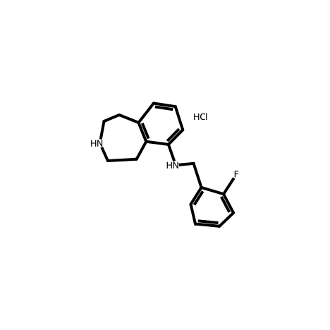 Cl.Fc1ccccc1CNc1cccc2c1CCNCC2